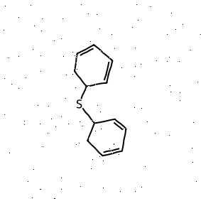 C1=CCC(SC2C=CC=CC2)C=C1